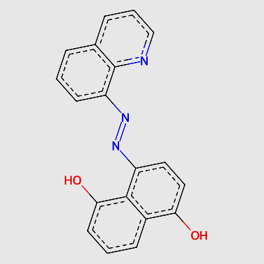 Oc1ccc(/N=N/c2cccc3cccnc23)c2c(O)cccc12